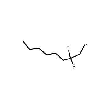 [CH2]CC(F)(F)CCCCCC